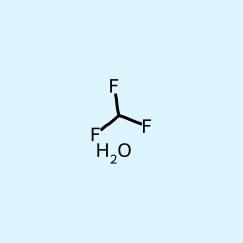 FC(F)F.O